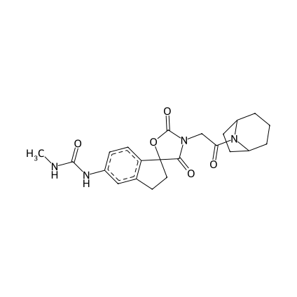 CNC(=O)Nc1ccc2c(c1)CCC21OC(=O)N(CC(=O)N2C3CCCC2CC3)C1=O